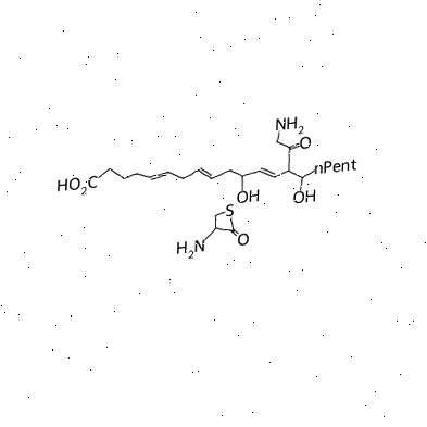 CCCCCC(O)C(C=CC(O)CC=CCC=CCCCC(=O)O)C(=O)CN.NC1CSC1=O